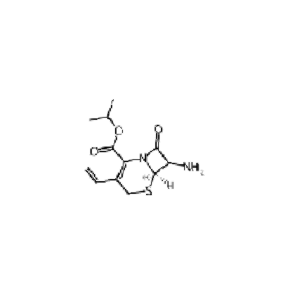 C=CC1=C(C(=O)OC(C)C)N2C(=O)C(N)[C@H]2SC1